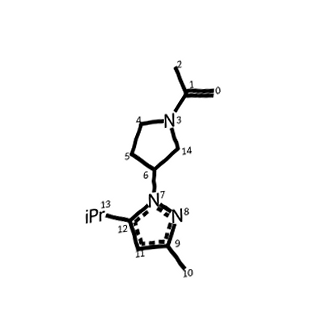 C=C(C)N1CCC(n2nc(C)cc2C(C)C)C1